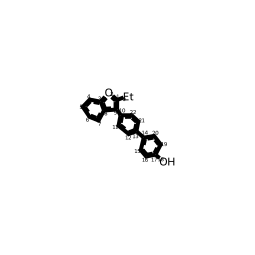 CCc1oc2ccccc2c1-c1ccc(-c2ccc(O)cc2)cc1